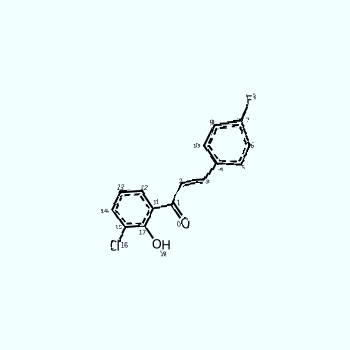 O=C(C=Cc1ccc(F)cc1)c1cccc(Cl)c1O